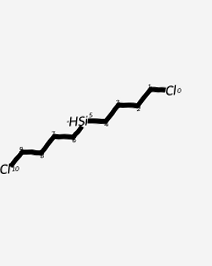 ClCCCC[SiH]CCCCCl